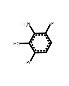 CC(C)c1ccc(C(C)C)c(O)c1N